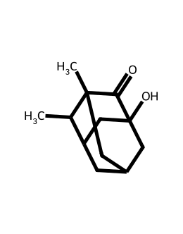 CC1C2CC3CC(O)(C2)C(=O)C1(C)C3